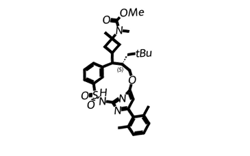 COC(=O)N(C)C1(C)CC(C2c3cccc(c3)S(=O)(=O)Nc3nc(cc(-c4c(C)cccc4C)n3)OC[C@H]2CC(C)(C)C)C1